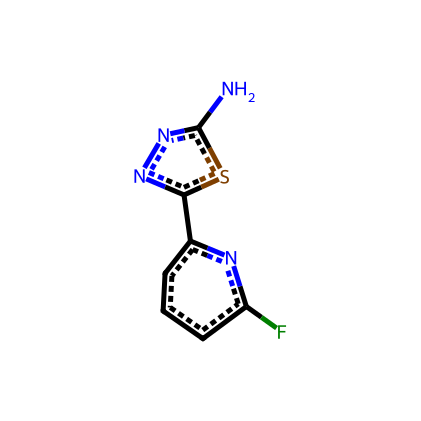 Nc1nnc(-c2cccc(F)n2)s1